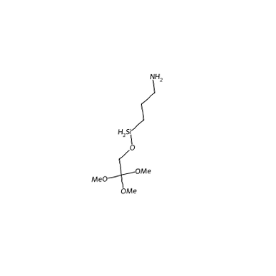 COC(CO[SiH2]CCCN)(OC)OC